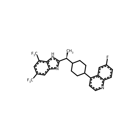 C[C@H](c1nc2cc(C(F)(F)F)cc(C(F)(F)F)c2[nH]1)C1CCC(c2ccnc3ccc(F)cc23)CC1